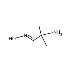 CC(C)(N)/C=N/O